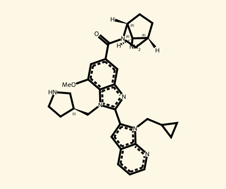 COc1cc(C(=O)N2C[C@H]3CC[C@@H]2[C@@H]3N)cc2nc(-c3cc4cccnc4n3CC3CC3)n(C[C@H]3CCNC3)c12